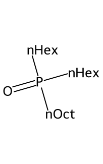 CCCCCCCCP(=O)(CCCCCC)CCCCCC